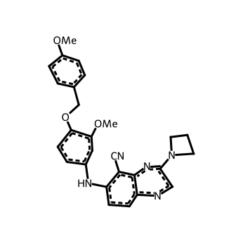 COc1ccc(COc2ccc(Nc3ccc4ncc(N5CCC5)nc4c3C#N)cc2OC)cc1